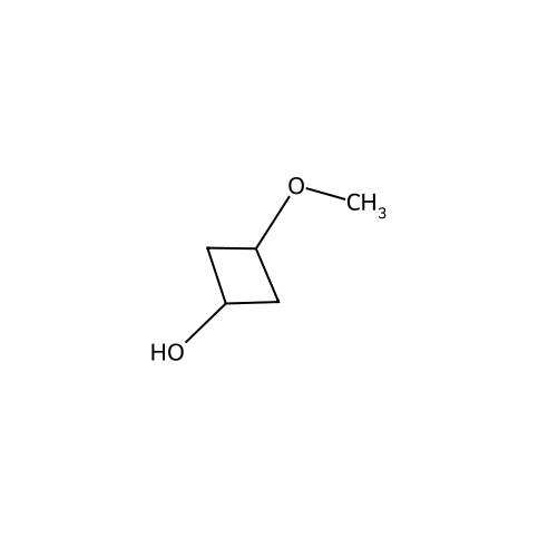 COC1CC(O)C1